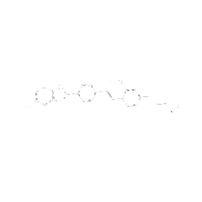 Nc1cc(CCCC(F)(F)F)ccc1C=Cc1ccc(-c2nc3ccc(O)cc3s2)cc1